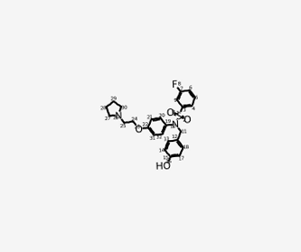 O=S(=O)(c1cccc(F)c1)N(Cc1ccc(O)cc1)c1ccc(OCCN2CCCC2)cc1